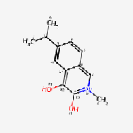 CC(C)c1ccc2c[n+](C)c(O)c(O)c2c1